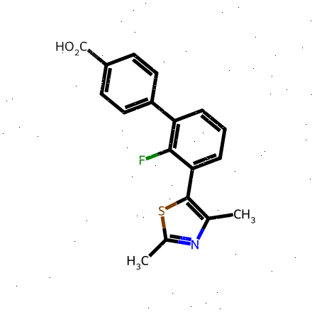 Cc1nc(C)c(-c2cccc(-c3ccc(C(=O)O)cc3)c2F)s1